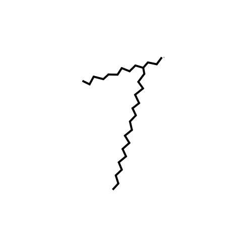 [CH2]CCC(CCCCCCCCC)CCCCCCCCCCCCCCCCCC